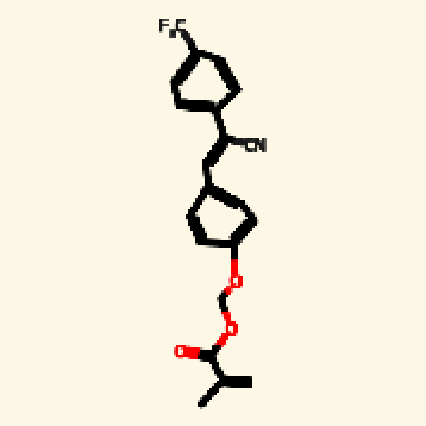 C=C(C)C(=O)OCOc1ccc(/C=C(\C#N)c2ccc(C(F)(F)F)cc2)cc1